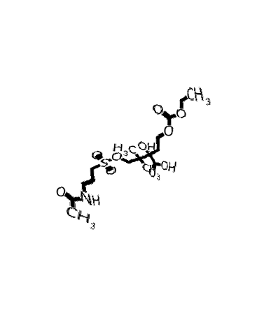 CCOC(=O)OCC[C@](O)(C(=O)O)C(C)(C)COS(=O)(=O)CCCNC(C)=O